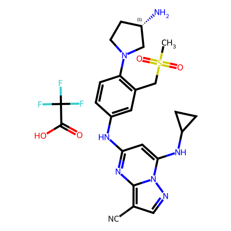 CS(=O)(=O)Cc1cc(Nc2cc(NC3CC3)n3ncc(C#N)c3n2)ccc1N1CC[C@H](N)C1.O=C(O)C(F)(F)F